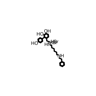 Br.Br.Oc1ccc(-c2c(CCNCCCCCCNCCc3ccccc3)ccc(O)c2O)cc1